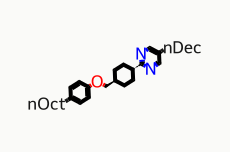 CCCCCCCCCCc1cnc([C@H]2CC[C@H](COc3ccc(CCCCCCCC)cc3)CC2)nc1